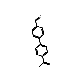 C=C(C)c1ccc(-c2ccc(C=O)cc2)cc1